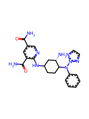 NC(=O)c1cnc(NC2CCC(N(c3ccccc3)n3nccn3)[C@@H](N)C2)c(C(N)=O)c1